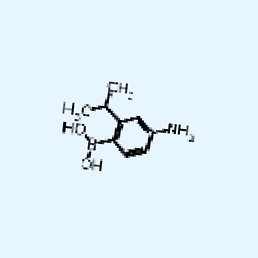 CC(C)c1cc(N)ccc1B(O)O